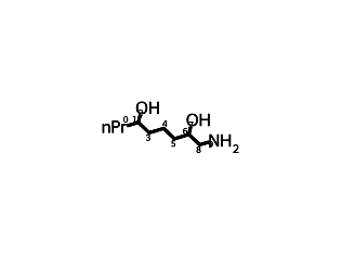 CCCC(O)CCCC(O)CN